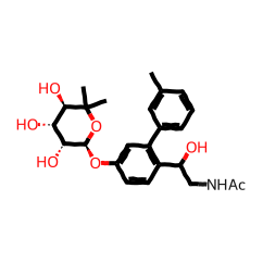 CC(=O)NCC(O)c1ccc(O[C@@H]2OC(C)(C)[C@H](O)[C@@H](O)[C@H]2O)cc1-c1cccc(C)c1